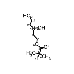 CC(C)(I)C(=O)OCCN(O)CCO